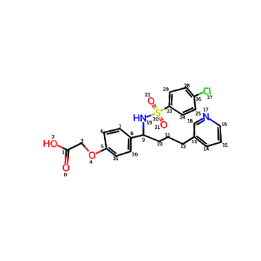 O=C(O)COc1ccc(C(CCCc2cccnc2)NS(=O)(=O)c2ccc(Cl)cc2)cc1